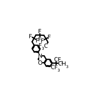 CC(c1ccc2c(c1)CN(c1ccc(CC(F)(F)CC(F)(F)CC(F)(F)CC(F)(F)F)cc1)CO2)(C(F)(F)F)C(F)(F)F